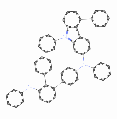 c1ccc(Nc2cccc(-c3ccc(N(c4ccccc4)c4ccc5c6c(-c7ccccc7)cccc6n(-c6ccccc6)c5c4)cc3)c2-c2ccccc2)cc1